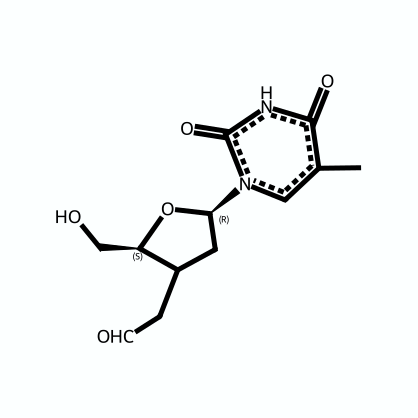 Cc1cn([C@H]2CC(CC=O)[C@@H](CO)O2)c(=O)[nH]c1=O